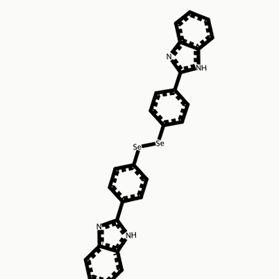 c1ccc2[nH]c(-c3ccc([Se][Se]c4ccc(-c5nc6ccccc6[nH]5)cc4)cc3)nc2c1